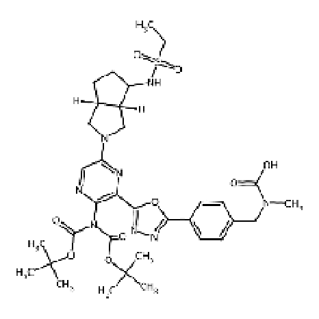 CCS(=O)(=O)NC1CC[C@H]2CN(c3cnc(N(C(=O)OC(C)(C)C)C(=O)OC(C)(C)C)c(-c4nnc(-c5ccc(CN(C)C(=O)O)cc5)o4)n3)C[C@@H]12